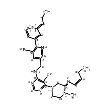 C\C=C/C(=C\C(C)=C\CC)c1ncc(CNc2ncnc(N3CCN(C)/C(=N\C=C/CC)C3)c2F)cc1F